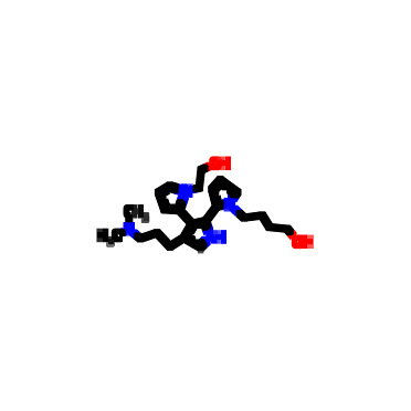 CN(C)CCCc1[c][nH]c(-c2cccn2CCCCO)c1-c1cccn1CCO